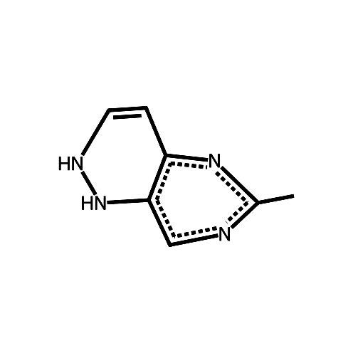 Cc1ncc2c(n1)C=CNN2